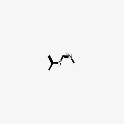 C=C(C)S/C=N\C